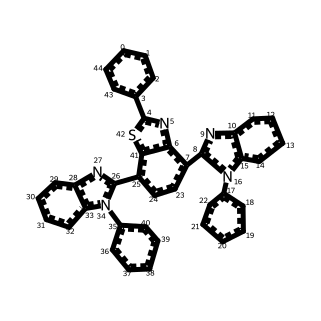 c1ccc(-c2nc3c(-c4nc5ccccc5n4-c4ccccc4)ccc(-c4nc5ccccc5n4-c4ccccc4)c3s2)cc1